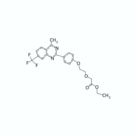 CCOC(=O)COCCOc1ccc(-c2nc(C)c3ccc(C(F)(F)F)cc3n2)cc1